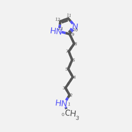 CNCCCCCCCc1ncc[nH]1